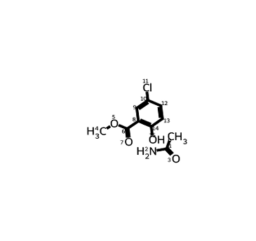 CC(N)=O.COC(=O)c1cc(Cl)ccc1O